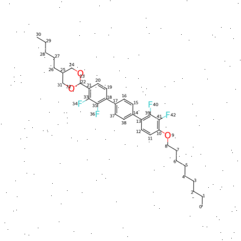 CCCCCCCCCOc1ccc(-c2ccc(-c3ccc(C4OCC(CCCCC)CO4)c(F)c3F)cc2)c(F)c1F